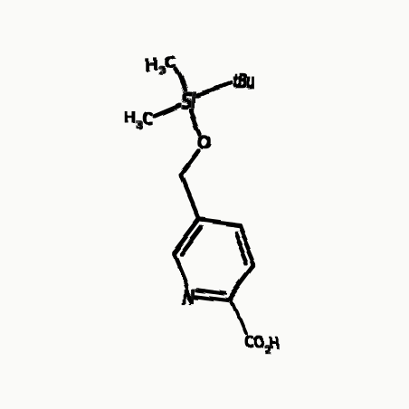 CC(C)(C)[Si](C)(C)OCc1ccc(C(=O)O)nc1